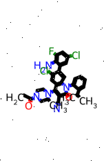 C=CC(=O)N1CCN(c2c(C#N)c(=O)n(-c3ccccc3C(C)C)c3cc(-c4cc(Cl)cc(F)c4N)c(Cl)cc23)C(C)C1